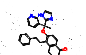 CC(Oc1ccc2c(c1CCc1ccccc1)CCCC2=O)(c1cccnc1)c1ncc[nH]1